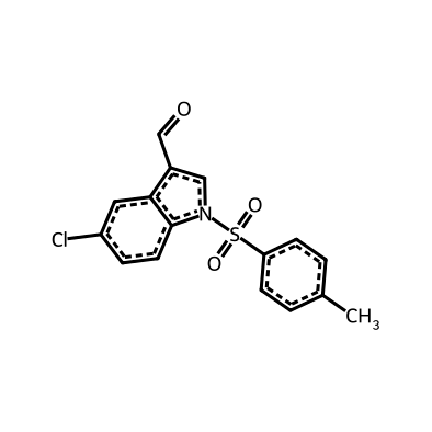 Cc1ccc(S(=O)(=O)n2cc(C=O)c3cc(Cl)ccc32)cc1